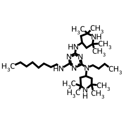 CCCCCCCCNc1nc(NC2CC(C)(C)NC(C)(C)C2)nc(N(CCCC)C2CC(C)(C)NC(C)(C)C2)n1